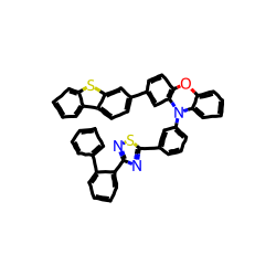 c1ccc(-c2ccccc2-c2nsc(-c3cccc(N4c5ccccc5Oc5ccc(-c6ccc7c(c6)sc6ccccc67)cc54)c3)n2)cc1